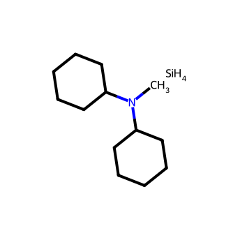 CN(C1CCCCC1)C1CCCCC1.[SiH4]